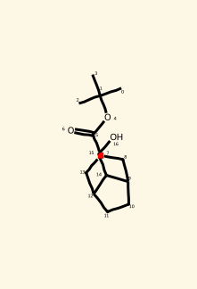 CC(C)(C)OC(=O)N1CC2CCC(C1)C2CO